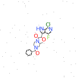 CC1CN(C(=O)c2ccccc2)CCN1C(=O)C(=O)c1c[nH]c2c(Cl)ncc(F)c12